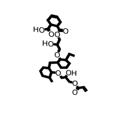 C=CC(=O)OCC(O)COC1C(C)CCCC1CC1CCCC(CC)C1OCC(O)COC(=O)C1CC=CCC1C(=O)O